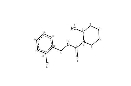 N#CN1CCCCN1C(=O)OCc1ccccc1Cl